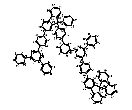 c1ccc(-c2cc(-c3ccccc3)nc(-c3ccc(-c4ccc5c(c4)C(c4ccccc4)(c4ccc(-c6cccc(-c7cc(-c8ccc(-c9ccc%10c(c9)C(c9ccccc9)(c9ccccc9)c9ccccc9-%10)cc8)nc(-c8ccccc8)n7)c6)cc4)c4ccccc4-5)cc3)n2)cc1